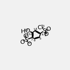 O=S(=O)(Cl)c1ccc(S(=O)(=O)Cl)c(O)c1